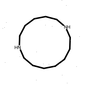 C1CCCNCCCCCNCCC1